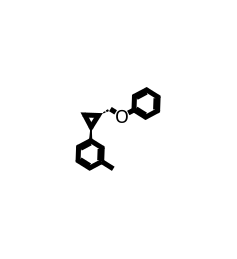 Cc1cccc([C@H]2C[C@@H]2COc2ccccc2)c1